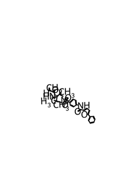 C=CC(=O)NC1C(C)(C)CN(S(=O)(=O)c2ccc(NC(=O)c3ccc(-c4ccccc4)o3)cc2)CC1(C)C